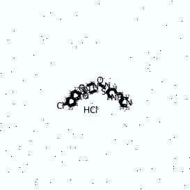 Cl.O=C(c1nc2c(s1)CNC(Cc1cccnc1)C2)N1CCN(S(=O)(=O)c2ccc3cc(Cl)ccc3c2)CC1